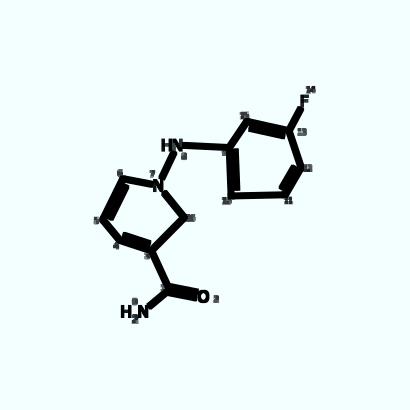 NC(=O)C1=CC=CN(Nc2cccc(F)c2)C1